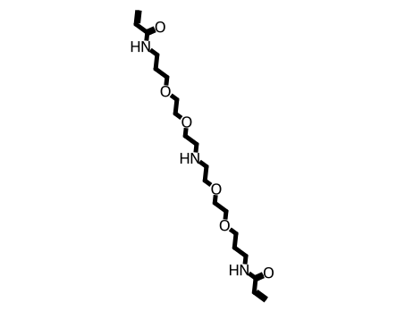 C=CC(=O)NCCCOCCOCCNCCOCCOCCCNC(=O)C=C